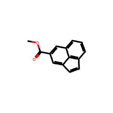 COC(=O)c1cc2c3c(cccc3c1)C=C2